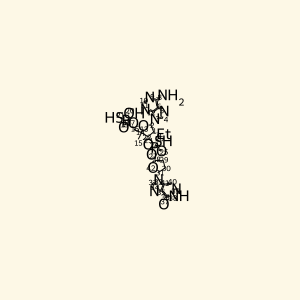 CC[C@H]1[C@H](n2cnc3c(N)ncnc32)OC(C)(COP(=O)(O)S)[C@H]1OP(=O)(S)O[C@@H]1CC[C@H](n2cnc3c(=O)[nH]ncc32)O1